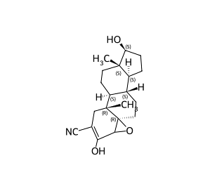 C[C@]12CC[C@H]3[C@@H](CC[C@]45OC4C(O)=C(C#N)C[C@]35C)[C@@H]1CC[C@@H]2O